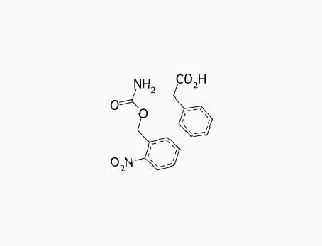 NC(=O)OCc1ccccc1[N+](=O)[O-].O=C(O)Cc1ccccc1